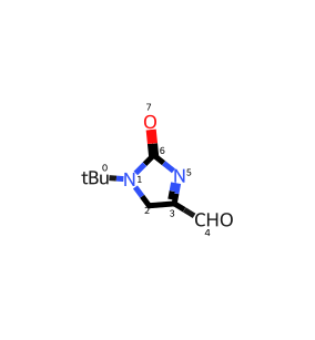 CC(C)(C)N1CC(C=O)=NC1=O